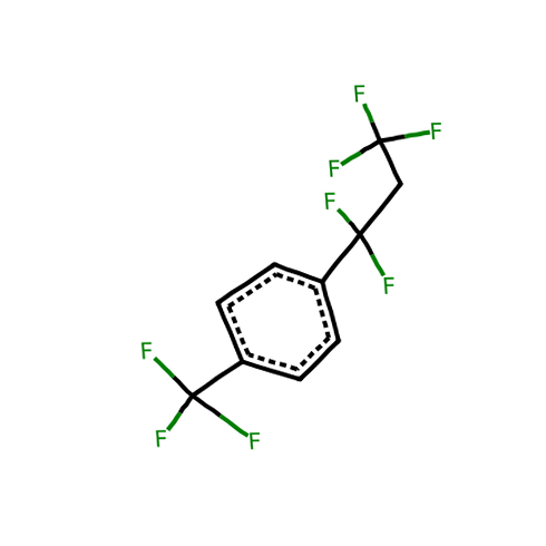 FC(F)(F)CC(F)(F)c1ccc(C(F)(F)F)cc1